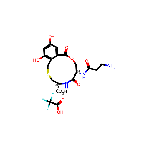 NCCC(=O)N[C@H]1COC(=O)c2cc(O)cc(O)c2CSC[C@@H](C(=O)O)NC1=O.O=C(O)C(F)(F)F